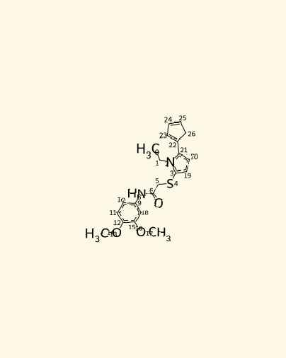 CCn1c(SCC(=O)Nc2ccc(OC)c(OC)c2)ccc1C1=CC=CC1